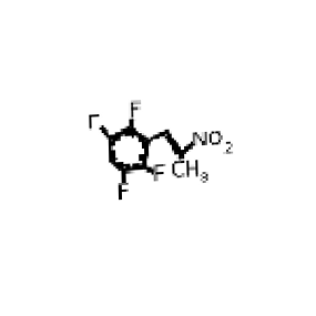 C/C(=C\c1c(F)c(F)cc(F)c1F)[N+](=O)[O-]